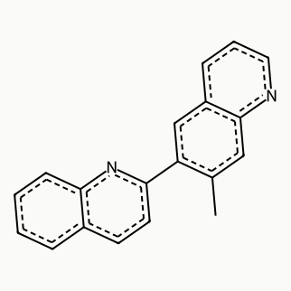 Cc1cc2ncccc2cc1-c1ccc2ccccc2n1